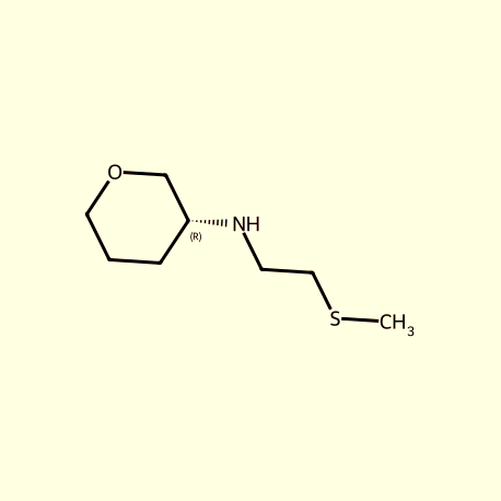 CSCCN[C@@H]1CCCOC1